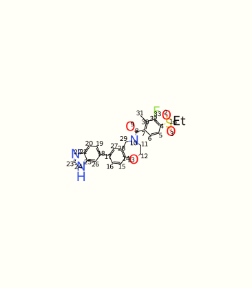 CCS(=O)(=O)c1ccc(C(=O)N2CCOc3ccc(-c4ccc5nc[nH]c5c4)cc3C2)c(C)c1F